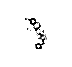 CN1C(=O)[C@@H](NC(=O)c2nnc(Cc3ccccc3)[nH]2)COc2ccc(Br)cc21